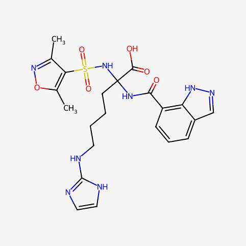 Cc1noc(C)c1S(=O)(=O)NC(CCCCNc1ncc[nH]1)(NC(=O)c1cccc2cn[nH]c12)C(=O)O